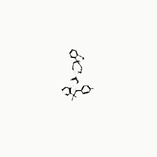 CC(CO)(c1cccnc1)C(NCC(=O)N1CCC2(CC1)OCc1ccccc12)c1ccc(Cl)cc1